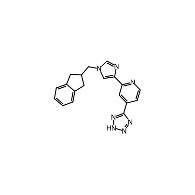 c1ccc2c(c1)CC(Cn1cnc(-c3cc(-c4nn[nH]n4)ccn3)c1)C2